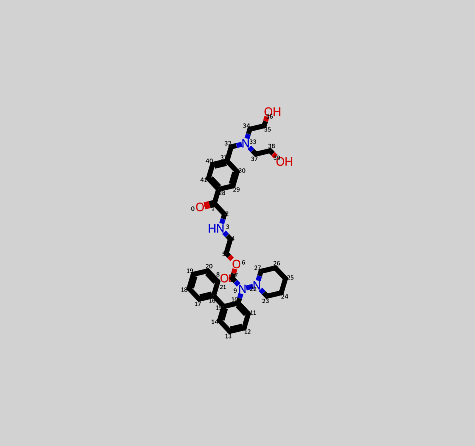 O=C(CNCCOC(=O)N(c1ccccc1-c1ccccc1)N1CC[CH]CC1)c1ccc(CN(CCO)CCO)cc1